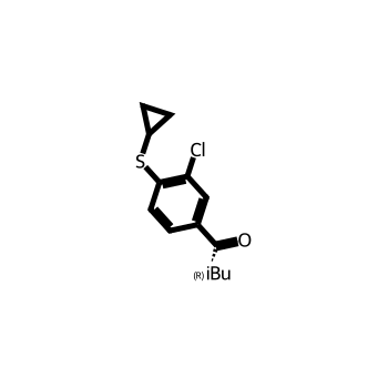 CC[C@@H](C)C(=O)c1ccc(SC2CC2)c(Cl)c1